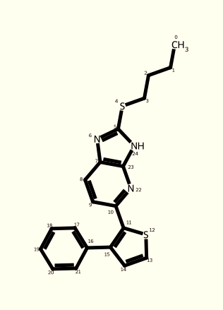 CCCCSc1nc2ccc(-c3sccc3-c3ccccc3)nc2[nH]1